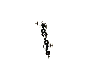 Cc1nc(-c2ccc3c(c2)CCN(CCC2CCC(NC(=O)C=Cc4ccc(F)cc4)CC2)CC3)no1